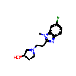 Cn1c(CCN2CCC(O)C2)nc2ccc(Br)cc21